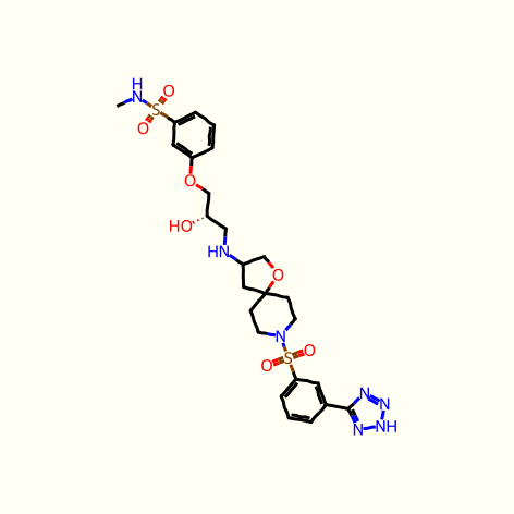 CNS(=O)(=O)c1cccc(OC[C@@H](O)CNC2COC3(CCN(S(=O)(=O)c4cccc(-c5nn[nH]n5)c4)CC3)C2)c1